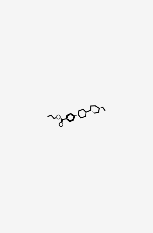 CCCOC(=O)c1ccc([C@H]2CC[C@H]([C@H]3CC[C@H](CC)CC3)CC2)cc1